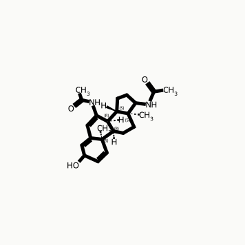 CC(=O)NC1=CC2=CC(O)C=C[C@]2(C)[C@@H]2CC[C@]3(C)C(NC(C)=O)CC[C@H]3[C@H]12